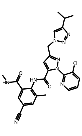 CNC(=O)c1cc(C#N)cc(C)c1NC(=O)c1cc(Cn2cc(C(C)C)nn2)nn1-c1ncccc1Cl